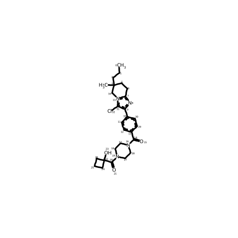 CCCC1(C)CCc2nc(-c3ccc(C(=O)N4CCN(C(=O)C5(O)CCC5)CC4)cc3)c(Cl)n2C1